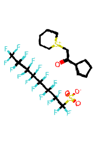 O=C(C[S+]1CCCCC1)C1CCCC1.O=S(=O)([O-])C(F)(F)C(F)(F)C(F)(F)C(F)(F)C(F)(F)C(F)(F)C(F)(F)C(F)(F)F